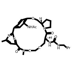 CC(=O)Nc1cc2ccc1OC[C@@H]1CCCN1C(=O)[C@@H](NC(=O)NCC(C)C)CCCCN(C)C(=O)c1cc(C)nc-2n1